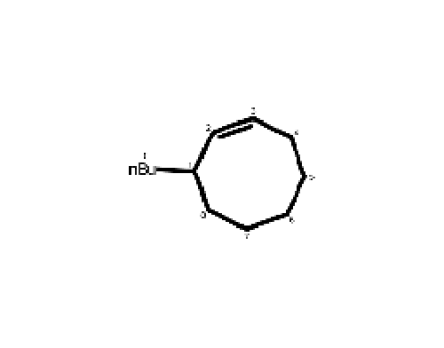 CC[CH]CC1C=CCCCCC1